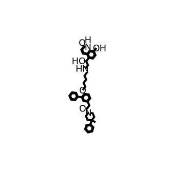 CC1(c2ccccc2)CCN(C(=O)Cc2ccc(OCCCCCNCC(O)c3ccc(O)c4[nH]c(=O)ccc34)c(-c3ccccc3)c2)CC1